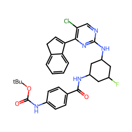 CC(C)(C)OC(=O)Nc1ccc(C(=O)NC2CC(F)CC(Nc3ncc(Cl)c(C4=CCc5ccccc54)n3)C2)cc1